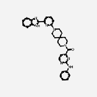 O=C(c1ccnc(Nc2ccccc2)n1)N1CCC2(CC1)CCN(c1cccc(-c3nc4ccccc4[nH]3)n1)CC2